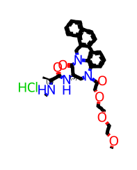 CN[C@@H](C)C(=O)N[C@H]1CN(C(=O)COCCOCCOC)c2ccccc2N(Cc2c(C)ccc3ccccc23)C1=O.Cl